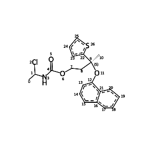 CC(Cl)NC(=O)OCC[C@](C)(Oc1cccc2ccccc12)c1cccs1